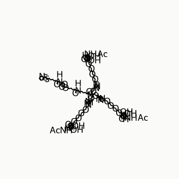 CC(=O)N[C@H]1[C@H]2OC[C@](COCCOCCOCCOCCn3cc(COCC(COCc4cn(CCOCCOCCOCCOC[C@@]56CO[C@@H](O5)[C@H](NC(C)=O)[C@@H](O)[C@H]6O)nn4)(COCc4cn(CCOCCOCCOCCOC[C@@]56CO[C@@H](O5)[C@H](NC(C)=O)[C@@H](O)[C@H]6O)nn4)NC(=O)CCCCCNC(=O)CCCCCOC4OCC(NC(=O)CCCCCSSc5ccccn5)CO4)nn3)(O2)[C@H](O)[C@@H]1O